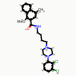 COc1c(C(=O)NCCCCN2CCN(c3cccc(Cl)c3Cl)CC2)cc(C)c2ccccc12